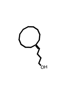 OCCCC=C1CCCCCCCCCCC1